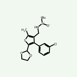 Cc1sc(C2OCCO2)c(-c2cccc(Cl)c2)c1CN[S+]([O-])C(C)(C)C